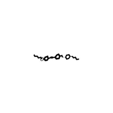 CCCCCOc1ccc(C#Cc2ccc(CC[C@H]3CC[C@H](CCCCC)CC3)cc2)cc1